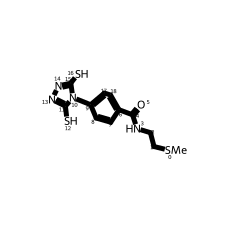 CSCCNC(=O)c1ccc(-n2c(S)nnc2S)cc1